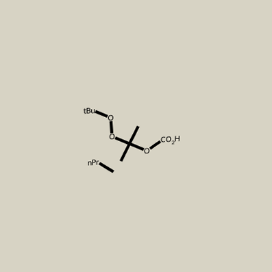 CC(C)(C)OOC(C)(C)OC(=O)O.CCCC